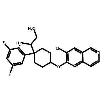 CCC(N)C1(c2cc(F)cc(F)c2)CCC(Oc2cc3ccncc3cc2Cl)CC1